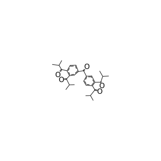 CC(C)C(=O)c1ccc(C(=O)c2ccc(C(=O)C(C)C)c(C(=O)C(C)C)c2)cc1C(=O)C(C)C